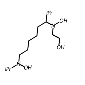 CC(C)C(CCCCCN(O)C(C)C)N(O)CCO